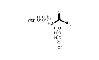 NC(N)=O.O.O.O.O.O.O.[Cl-].[Cl-].[Cl-].[Y+3]